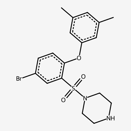 Cc1cc(C)cc(Oc2ccc(Br)cc2S(=O)(=O)N2CCNCC2)c1